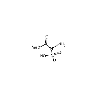 COC(=O)N(N)S(=O)(=O)O